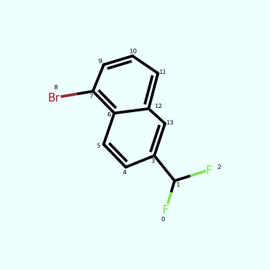 FC(F)c1ccc2c(Br)cccc2c1